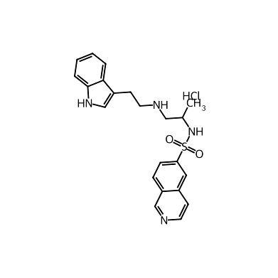 CC(CNCCc1c[nH]c2ccccc12)NS(=O)(=O)c1ccc2cnccc2c1.Cl